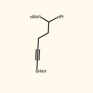 [CH2]CCCCCC#CCCC(CCC)CCCCCCCC[CH2]